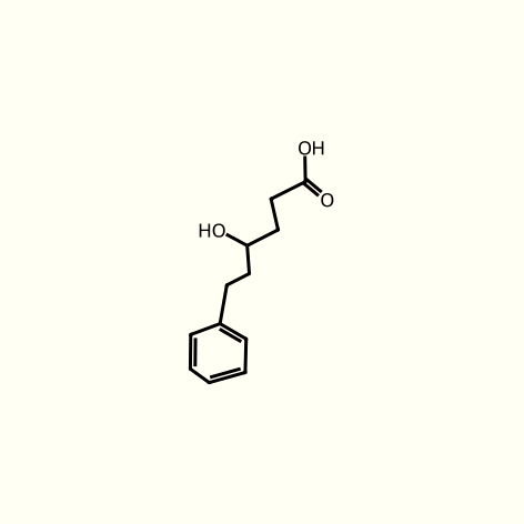 O=C(O)CCC(O)CCc1ccccc1